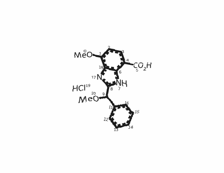 COc1ccc(C(=O)O)c2[nH]c(C(OC)c3ccccc3)nc12.Cl